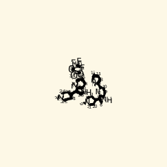 CN1CCC(c2c[nH]c3ccc(-c4ccccn4)nc23)CC1.CN1CCC(c2c[nH]c3ccc(OS(=O)(=O)C(F)(F)F)nc23)CC1